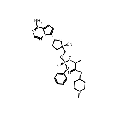 C[C@H](NP(=O)(OC[C@]1(C#N)CC[C@H](c2ccc3c(N)ncnn23)O1)Oc1ccccc1)C(=O)OC1CCN(C)CC1